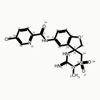 CN1C(=N)N[C@@]2(COc3ccc(NC(=O)c4ccc(Cl)cn4)cc32)CS1(=O)=O